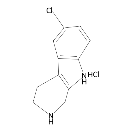 Cl.Clc1ccc2[nH]c3c(c2c1)CCNC3